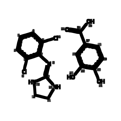 Clc1cccc(Cl)c1N=C1NCCN1.O=C(O)c1ccc(O)c(O)c1